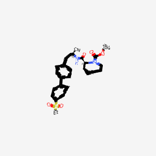 CCS(=O)(=O)c1ccc(-c2ccc(C[C@@H](C#N)NC(=O)[C@@H]3CCCCN3C(=O)OC(C)(C)C)cc2)cc1